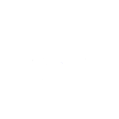 CCCC(CC)(C1=CC(Cl)=CCC1NCCC=O)c1ccccc1